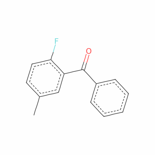 Cc1ccc(F)c(C(=O)c2ccccc2)c1